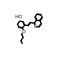 CCCCOC1=CCCC=C1C=Cc1nccc2ccccc12.Cl